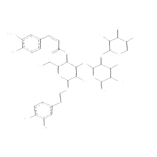 COc1cc(/C=C\C(=O)OC2C(CO)OC(OCCc3ccc(O)c(O)c3)C(O)C2OC2OC(C)C(O)C(O)C2OC2OCC(O)C(O)C2O)ccc1O